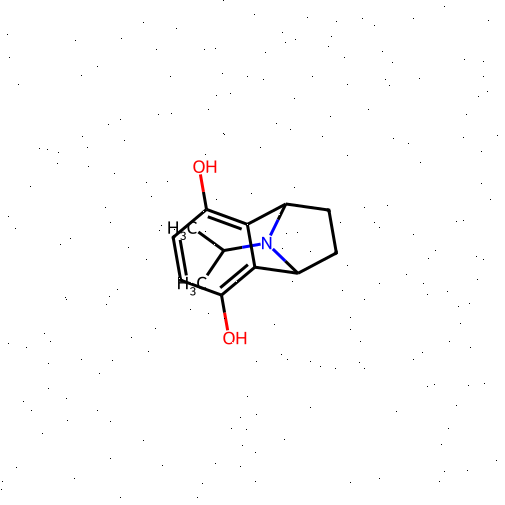 CC(C)N1C2CCC1c1c(O)ccc(O)c12